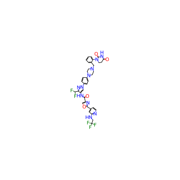 O=C1CCN(c2ccccc2CN2CCN(c3ccc(-n4cc(NC(=O)c5coc(-c6ccnc(NCC(F)(F)F)c6)n5)c(C(F)F)n4)cc3)CC2)C(=O)N1